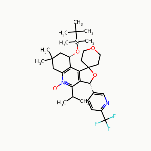 CC(C)c1c2c(c3c([n+]1[O-])CC(C)(C)C[C@@H]3O[Si](C)(C)C(C)(C)C)C1(CCOCC1)O[C@@H]2c1ccc(C(F)(F)F)nc1